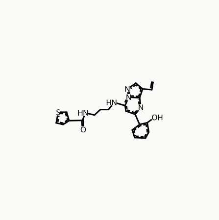 C=Cc1cnn2c(NCCCNC(=O)c3ccsc3)cc(-c3ccccc3O)nc12